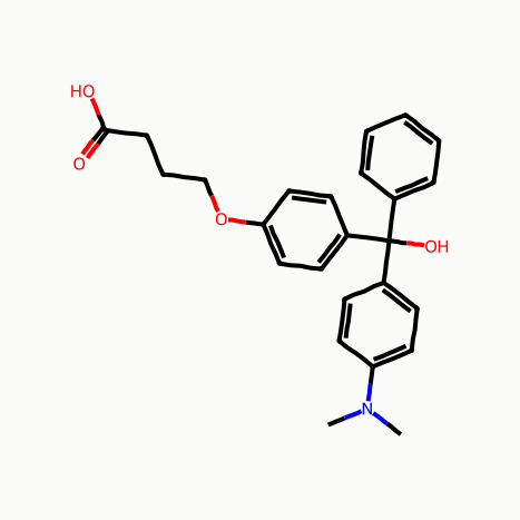 CN(C)c1ccc(C(O)(c2ccccc2)c2ccc(OCCCC(=O)O)cc2)cc1